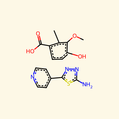 COc1c(O)ccc(C(=O)O)c1C.Nc1nnc(-c2ccncc2)s1